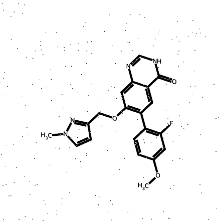 COc1ccc(-c2cc3c(=O)[nH]cnc3cc2OCc2ccn(C)n2)c(F)c1